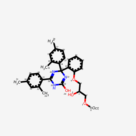 CCCCCCCCOCC(O)COc1ccccc1C1(c2ccc(C)cc2C)N=C(O)NC(c2ccc(C)cc2C)=N1